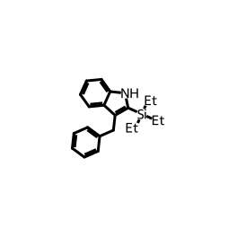 CC[Si](CC)(CC)c1[nH]c2ccccc2c1Cc1ccccc1